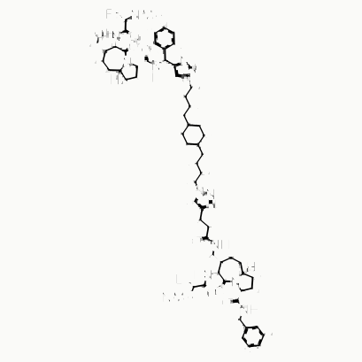 CC[C@H](NC)C(=O)N[C@@H]1C(=O)N2[C@@H](CC[C@@H]1CNC(=O)CCc1cn(CCCCC3CCC(CCCCn4cc([C@@H](NC(=O)[C@@H]5CC[C@@H]6CC[C@H](CO)[C@H](NC(=O)[C@H](CC)NC)C(=O)N65)c5ccccc5)nn4)CC3)nn1)CC[C@H]2C(=O)NCc1ccccc1